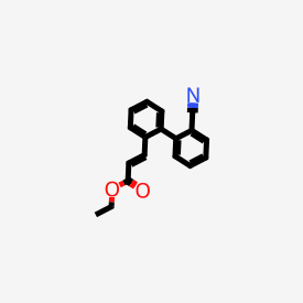 CCOC(=O)C=Cc1ccccc1-c1ccccc1C#N